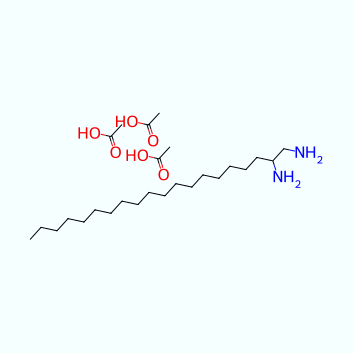 CC(=O)O.CC(=O)O.CC(=O)O.CCCCCCCCCCCCCCCCCCC(N)CN